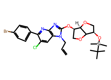 C=CCn1c(O[C@@H]2COC3[C@H](O[Si](C)(C)C(C)(C)C)CO[C@@H]32)nc2nc(-c3ccc(Br)cc3)c(Cl)cc21